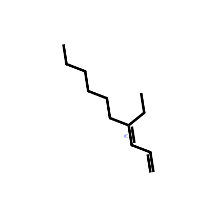 C=C/C=C(\CC)CCCCCC